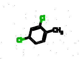 CC1=CCC(Cl)C=C1Cl